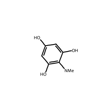 CNc1c(O)cc(O)cc1O